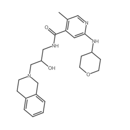 Cc1cnc(NC2CCOCC2)cc1C(=O)NCC(O)CN1CCc2ccccc2C1